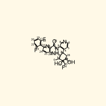 C[C@H]1C[C@@H](c2ccncc2NC(=O)c2nc(-c3c(F)cccc3F)ccc2N)C[C@@H](O)[C@@]1(O)CF